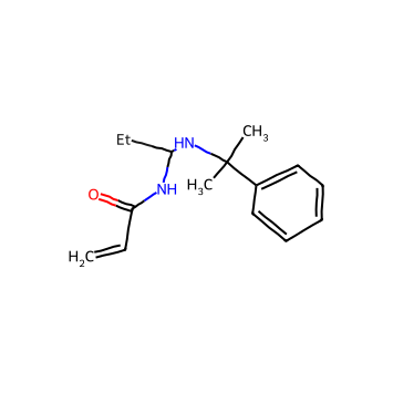 C=CC(=O)NC(CC)NC(C)(C)c1ccccc1